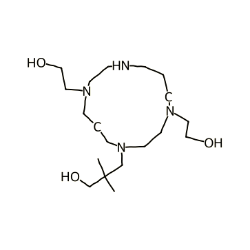 CC(C)(CO)CN1CCCN(CCO)CCNCCCN(CCO)CC1